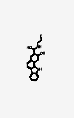 Oc1cc2c(ccc3c4ccccc4[nH]c23)cc1C(O)NCCF